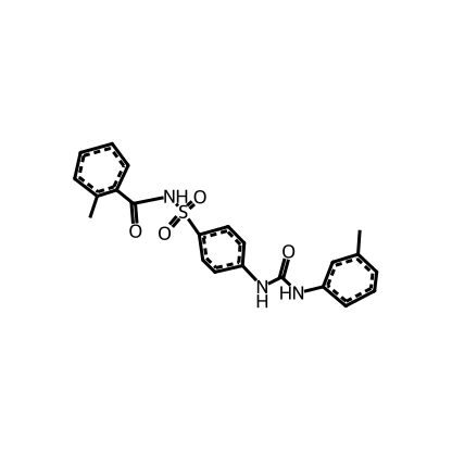 Cc1cccc(NC(=O)Nc2ccc(S(=O)(=O)NC(=O)c3ccccc3C)cc2)c1